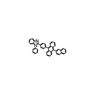 c1ccc(-n2c(-c3ccc(-c4c5ccccc5c(-c5ccc6ccccc6c5)c5ccccc45)cc3)nc3ccccc32)cc1